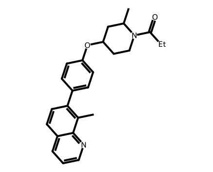 CCC(=O)N1CCC(Oc2ccc(-c3ccc4cccnc4c3C)cc2)CC1C